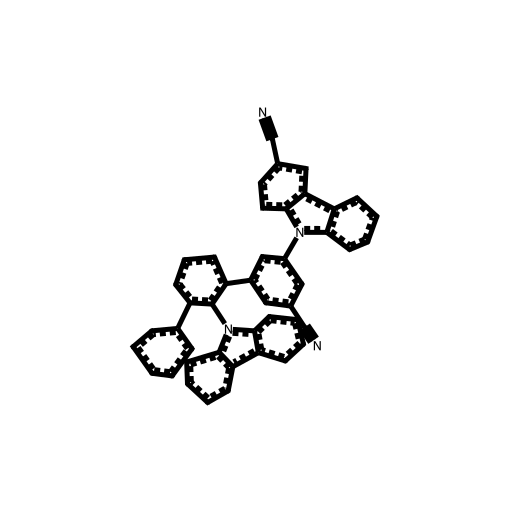 N#Cc1cc(-c2cccc(-c3ccccc3)c2-n2c3ccccc3c3ccccc32)cc(-n2c3ccccc3c3cc(C#N)ccc32)c1